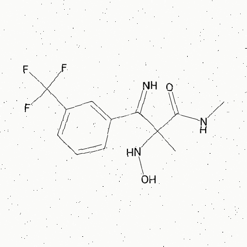 CNC(=O)C(C)(NO)C(=N)c1cccc(C(F)(F)F)c1